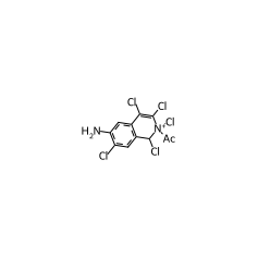 CC(=O)[N+]1(Cl)C(Cl)=C(Cl)c2cc(N)c(Cl)cc2C1Cl